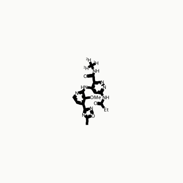 [2H]C([2H])([2H])NC(=O)c1nnc(NC(=O)CC)cc1Nc1nccc(-c2noc(C)n2)c1OC